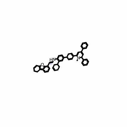 CN1C(C2=CCC(c3ccc(N/C=C/c4cccc5c6c(oc45)C=CCC6)c(C4CC=CCC4)c3)C=C2)=CC(c2ccccc2)=CC1c1ccccc1